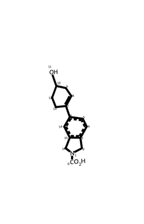 O=C(O)N1Cc2ccc(C3=CCC(O)CC3)cc2C1